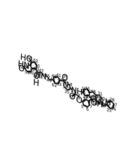 O=C(COc1cccc([C@@](O)(C(=O)O)c2ccccc2CC2CCN(Cc3ccccc3)CC2)c1)N[C@H]1CCN(C(=O)c2ccc(CCNC[C@H](O)c3ccc(O)c4[nH]c(=O)ccc34)cc2)C1